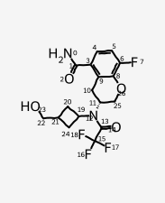 NC(=O)c1ccc(F)c2c1C[C@@H](N(C(=O)C(F)(F)F)C1CC(CO)C1)CO2